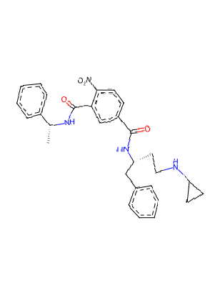 C[C@@H](NC(=O)c1cc(C(=O)N[C@H](CCNC2CC2)Cc2ccccc2)ccc1[N+](=O)[O-])c1ccccc1